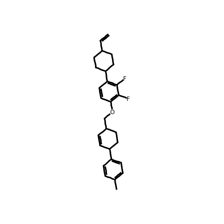 C=CC1CCC(c2ccc(OCC3C=CC(c4ccc(C)cc4)CC3)c(F)c2F)CC1